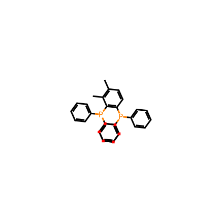 Cc1ccc(P(c2ccccc2)c2ccccc2)c(P(c2ccccc2)c2ccccc2)c1C